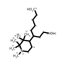 CCCCCCCCCCCCC(CCCCC(=O)O)C1CCN(C)C(C)(C)C1(C)C